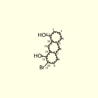 Oc1cccc2cc3ccc(Br)c(O)c3cc12